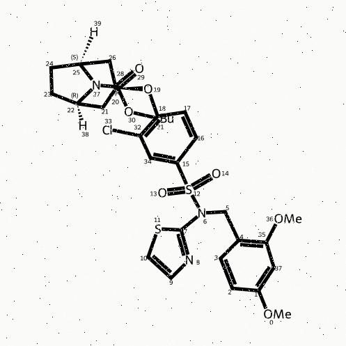 COc1ccc(CN(c2nccs2)S(=O)(=O)c2ccc(O[C@H]3C[C@H]4CC[C@@H](C3)N4C(=O)OC(C)(C)C)c(Cl)c2)c(OC)c1